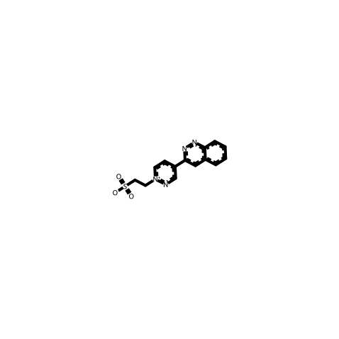 O=S(=O)([O-])CC[n+]1ccc(-c2cc3ccccc3nn2)cn1